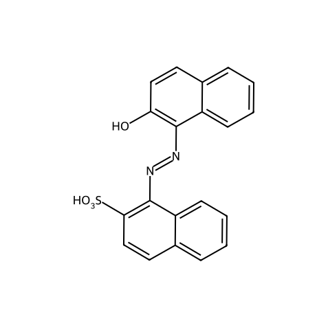 O=S(=O)(O)c1ccc2ccccc2c1N=Nc1c(O)ccc2ccccc12